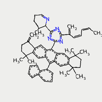 C=C(/C=C\C=C/C)c1nc(-c2c3cc4c(cc3c(-c3cccc5ccccc35)c3cc5c(cc23)C(C)(C)CCC5(C)C)C(C)(C)CCC4=C)nc(C2N=CCCC2C)n1